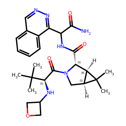 CC(C)(C)[C@H](NC1COC1)C(=O)N1C[C@H]2[C@@H]([C@H]1C(=O)NC(C(N)=O)c1nncc3ccccc13)C2(C)C